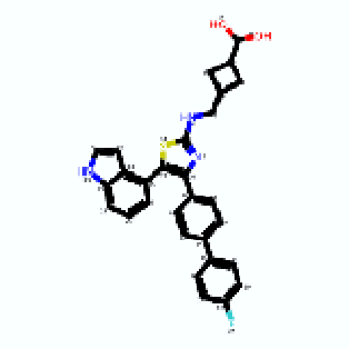 OC(O)C1CC(CNc2nc(-c3ccc(-c4ccc(F)cc4)cc3)c(-c3cccc4[nH]ccc34)s2)C1